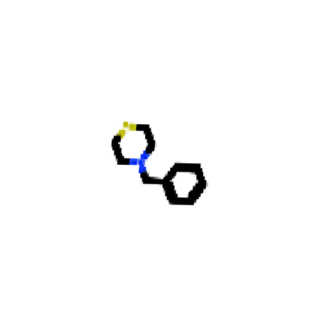 [c]1ccc(CN2CCSCC2)cc1